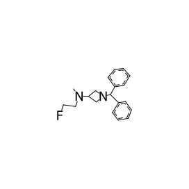 CN(CCF)C1CN(C(c2ccccc2)c2ccccc2)C1